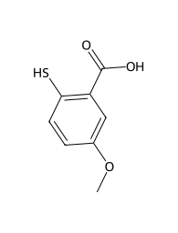 COc1ccc(S)c(C(=O)O)c1